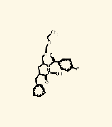 CCOCOCC(CC(Cc1ccccc1)C(=O)NO)NC(=O)c1ccc(F)cc1